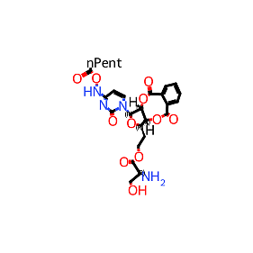 CCCCCC(=O)ONc1ccn([C@@H]2O[C@H](CCOC(=O)[C@H](N)CO)[C@H]3OC(=O)c4ccccc4C(=O)O[C@H]32)c(=O)n1